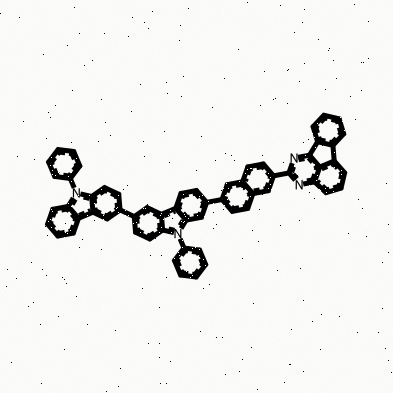 c1ccc(-n2c3ccccc3c3cc(-c4ccc5c(c4)c4ccc(-c6ccc7cc(-c8nc9c%10c(cccc%10n8)-c8ccccc8-9)ccc7c6)cc4n5-c4ccccc4)ccc32)cc1